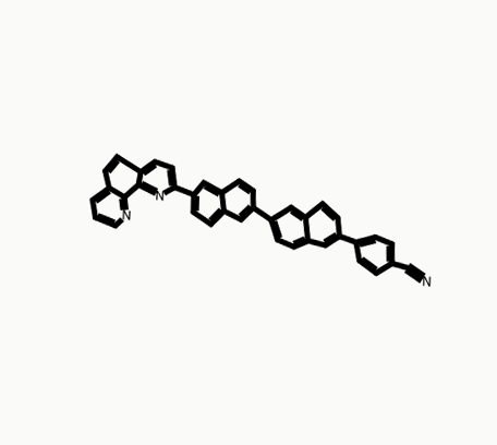 N#Cc1ccc(-c2ccc3cc(-c4ccc5cc(-c6ccc7ccc8cccnc8c7n6)ccc5c4)ccc3c2)cc1